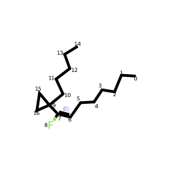 CCCCCC/C=C(/F)C1(CCCCC)CC1